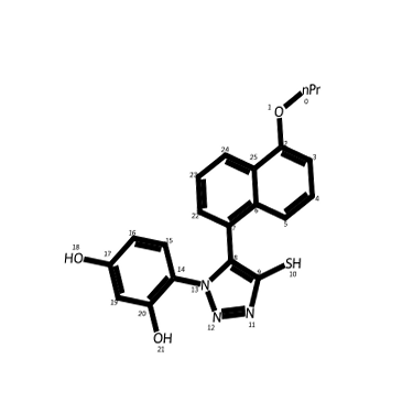 CCCOc1cccc2c(-c3c(S)nnn3-c3ccc(O)cc3O)cccc12